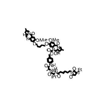 CCSC1CC(=O)N(CCCCCC(=O)N[C@H](C(=O)N[C@@H](C)C(=O)Nc2ccc(COC(=O)N3c4cc(OCCCCCOc5cc6c(cc5OC)C(=O)N5C=C(C)C[C@H]5C=N6)c(OC)cc4C(=O)N4C=C(C)C[C@H]4[C@@H]3O)cc2)C(C)C)C1=O